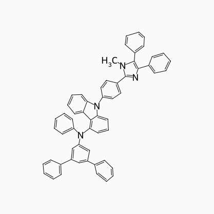 Cn1c(-c2ccc(-n3c4ccccc4c4c(N(c5ccccc5)c5cc(-c6ccccc6)cc(-c6ccccc6)c5)cccc43)cc2)nc(-c2ccccc2)c1-c1ccccc1